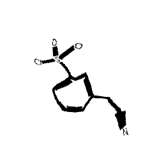 N#CCc1cccc(S(=O)(=O)Cl)c1